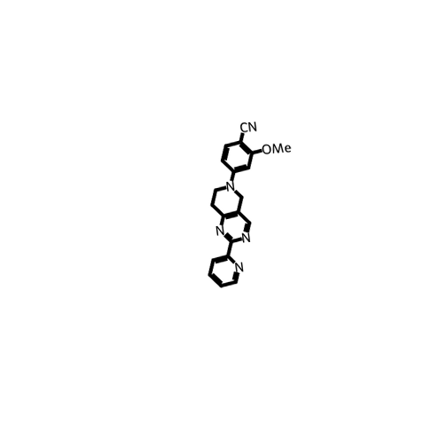 COc1cc(N2CCc3nc(-c4ccccn4)ncc3C2)ccc1C#N